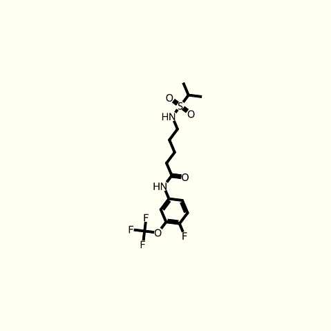 CC(C)S(=O)(=O)NCCCCC(=O)Nc1ccc(F)c(OC(F)(F)F)c1